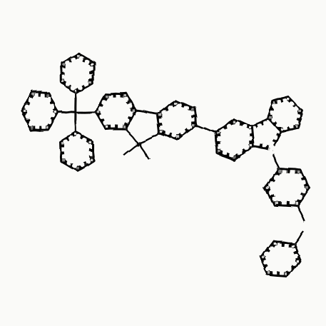 CC1(C)c2cc(-c3ccc4c(c3)c3ccccc3n4-c3ccc(Oc4ccccc4)cc3)ccc2-c2ccc(C(c3ccccc3)(c3ccccc3)c3ccccc3)cc21